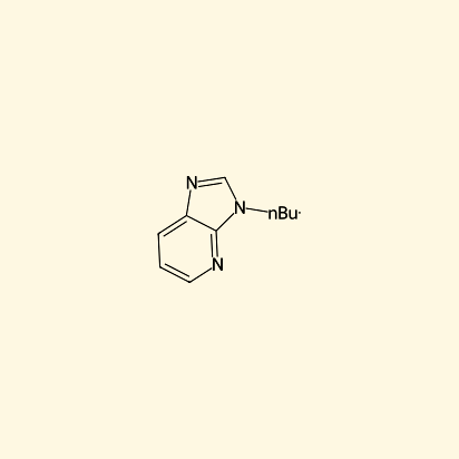 CCC[CH]n1cnc2cccnc21